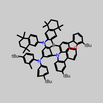 Cc1cc(C(C)(C)C)ccc1N(c1ccc(C(C)(C)C)cc1)c1cc2c3c(c1)N(c1ccc(C(C)(C)C)cc1-c1ccccc1)c1cc4oc5c(C(C)(C)C)cccc5c4cc1B3c1cc3c(cc1N2c1ccc2c(c1)C(C)(C)CCC2(C)C)C(C)(C)CCC3(C)C